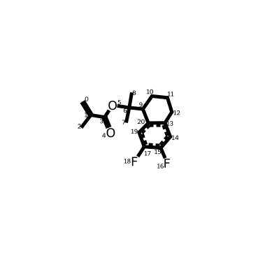 C=C(C)C(=O)OC(C)(C)C1CCCc2cc(F)c(F)cc21